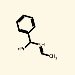 [CH2]C=[SiH]C(CCC)c1ccccc1